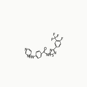 O=C(Nc1nc(-c2ccc(F)c(C(F)(F)F)c2)ns1)c1ccc(Nc2ccncn2)cc1